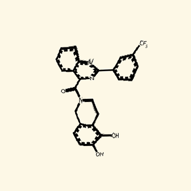 O=C(c1nc(-c2cccc(C(F)(F)F)c2)nc2ccccc12)N1CCc2c(ccc(O)c2O)C1